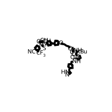 CC(C)(C)C(NC(=O)COCCCCOc1ccc(-c2ccc(N3C(=S)N(c4ccc(C#N)c(C(F)(F)F)c4)C(=O)C3(C)C)cc2)cc1)C(=O)N1CCC[C@H]1C(=O)NCc1ccc(-c2ccn[nH]2)cc1